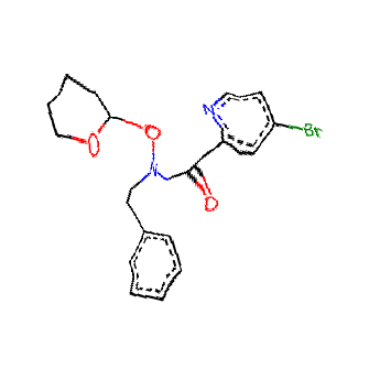 O=C(c1cc(Br)ccn1)N(Cc1ccccc1)OC1CCCCO1